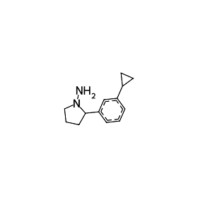 NN1CCCC1c1cccc(C2CC2)c1